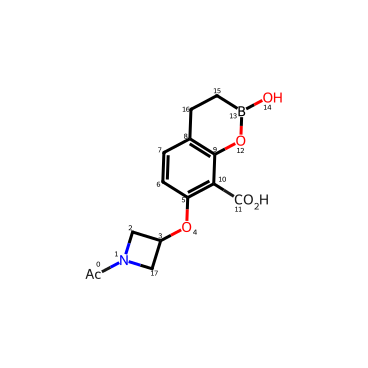 CC(=O)N1CC(Oc2ccc3c(c2C(=O)O)OB(O)CC3)C1